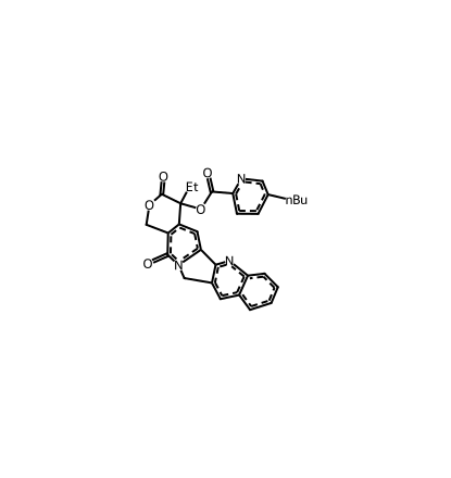 CCCCc1ccc(C(=O)OC2(CC)C(=O)OCc3c2cc2n(c3=O)Cc3cc4ccccc4nc3-2)nc1